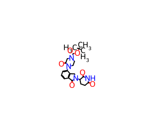 CC(C)(C)OC(=O)N1CCN(c2cccc3c2CN(C2CCC(=O)NC2=O)C3=O)C(=O)C1